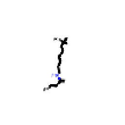 C=C(CCC(C)C)NCCCCCCC(C)(C)C(C)CC